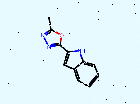 Cc1nnc(-c2cc3ccccc3[nH]2)o1